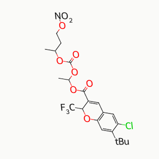 CC(CCO[N+](=O)[O-])OC(=O)OC(C)OC(=O)C1=Cc2cc(Cl)c(C(C)(C)C)cc2OC1C(F)(F)F